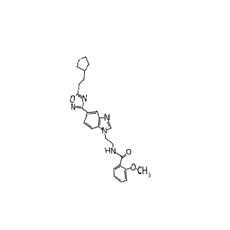 COc1ccccc1C(=O)NCCn1cnc2cc(-c3noc(CCC4CCCC4)n3)ccc21